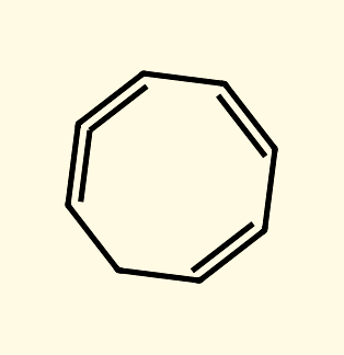 C1=CC=CC=CCC=1